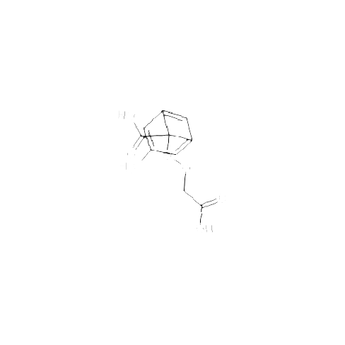 Cc1cc2cc(c1)C2(OOCC(=O)O)C(=O)O